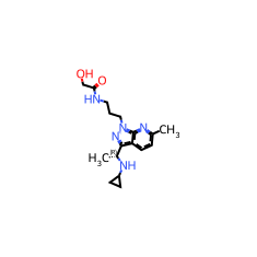 Cc1ccc2c([C@@H](C)NC3CC3)nn(CCCNC(=O)CO)c2n1